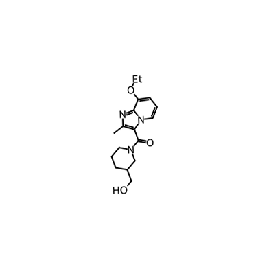 CCOc1cccn2c(C(=O)N3CCCC(CO)C3)c(C)nc12